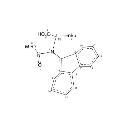 CCCC[C@@H](C(=O)O)N(C(=O)OC)C1c2ccccc2-c2ccccc21